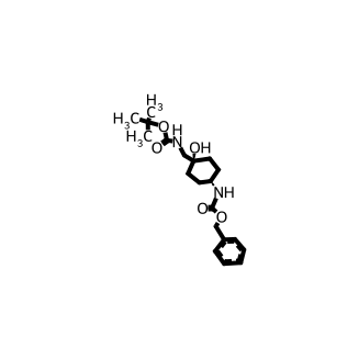 CC(C)(C)OC(=O)NC[C@]1(O)CC[C@H](NC(=O)OCc2ccccc2)CC1